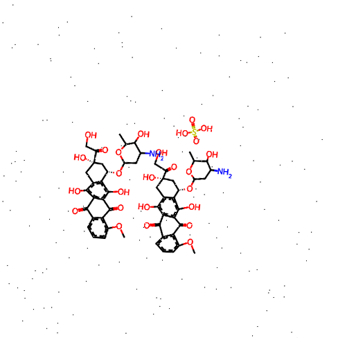 COc1cccc2c1C(=O)c1c(O)c3c(c(O)c1C2=O)C[C@@](O)(C(=O)CO)C[C@@H]3OC1CC(N)C(O)C(C)O1.COc1cccc2c1C(=O)c1c(O)c3c(c(O)c1C2=O)C[C@@](O)(C(=O)CO)C[C@@H]3OC1CC(N)C(O)C(C)O1.O=S(=O)(O)O